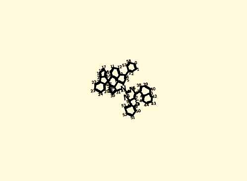 c1ccc(-c2cc3c4c5c(cccc25)C2(c5ccccc5-c5ccccc52)c2cccc(c24)n3-c2nc(-c3cccc4ccccc34)c3sc4ccccc4c3n2)cc1